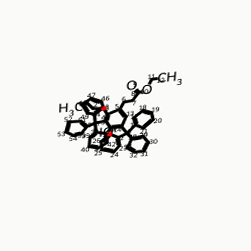 CCCCc1c(CCC(=O)OCC)cc(C(c2ccccc2)(c2ccccc2)c2ccccc2)c(O)c1C(c1ccccc1)(c1ccccc1)c1ccccc1